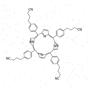 N#CCCCc1ccc(-c2c3nc(c(-c4ccc(CCCC#N)cc4)c4ccc([nH]4)c(-c4ccc(CCCC#N)cc4)c4nc(c(-c5ccc(CCCC#N)cc5)c5ccc2[nH]5)C=C4)C=C3)cc1